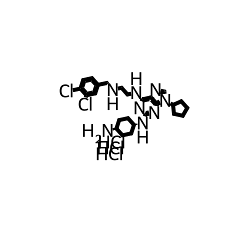 Cl.Cl.Cl.N[C@H]1CC[C@H](Nc2nc(NCCNCc3ccc(Cl)c(Cl)c3)c3ncn(C4CCCC4)c3n2)CC1